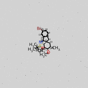 CO[C@H]1[C@H](C)C[C@@]2(Cc3ccc(Br)cc3/C2=N/[S@@+]([O-])C(C)(C)C)C[C@@H]1C